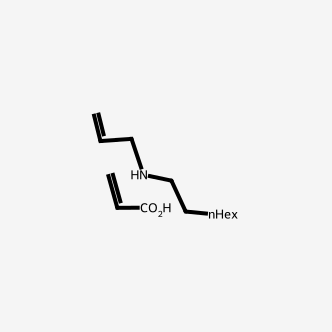 C=CC(=O)O.C=CCNCCCCCCCC